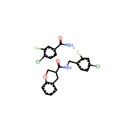 NC(=O)c1ccc(Cl)c(F)c1.O=C(NCc1ccc(Cl)cc1F)C1COc2ccccc2C1